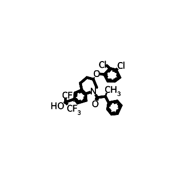 C[C@H](C(=O)N1C[C@@H](Oc2cccc(Cl)c2Cl)CCc2cc(C(O)(C(F)(F)F)C(F)(F)F)ccc21)c1ccccc1